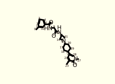 Cc1cccc(C(=O)NCC(=O)NC2CN(C3CCC(c4cc(C)c(=O)n(C)c4)CC3)C2)c1